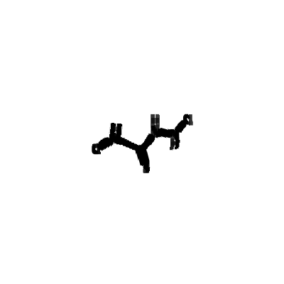 S=C(NCl)NNCl